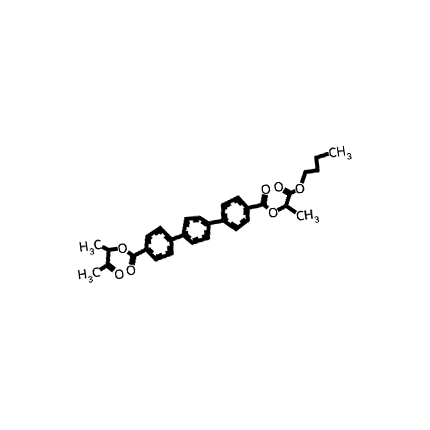 CCCCOC(=O)C(C)OC(=O)c1ccc(-c2ccc(-c3ccc(C(=O)OC(C)C(C)=O)cc3)cc2)cc1